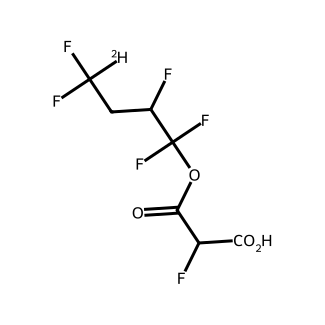 [2H]C(F)(F)CC(F)C(F)(F)OC(=O)C(F)C(=O)O